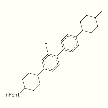 CCCCCC1CCC(c2ccc(-c3ccc(C4CCC(C)CC4)cc3)c(F)c2)CC1